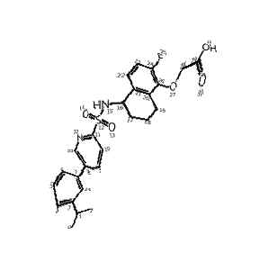 CC(C)c1cccc(-c2ccc(S(=O)(=O)NC3CCCc4c3ccc(F)c4OCC(=O)O)nc2)c1